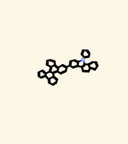 c1ccc(-n2c3ccc(-c4ccc5c(c4)c4ccccc4c4c6ccccc6c6ccccc6c54)cc3c3ccc4ccccc4c32)cc1